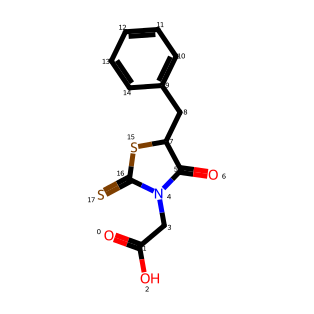 O=C(O)CN1C(=O)C(Cc2ccccc2)SC1=S